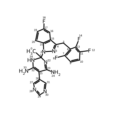 CC1(n2nc(Cc3c(F)ccc(F)c3F)c3cc(F)ccc32)N=C(N)C(c2cncnc2)=C(N)N1